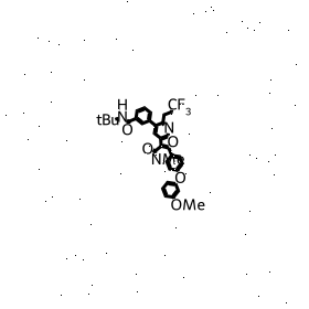 CNC(=O)c1c(-c2ccc(Oc3cccc(OC)c3)cc2)oc2nc(CCC(F)(F)F)c(-c3cccc(C(=O)NC(C)(C)C)c3)cc12